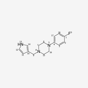 Fc1ccc(N2CCN(Cc3cc[nH]c3)CC2)cc1